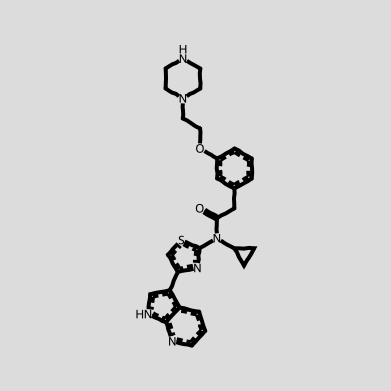 O=C(Cc1cccc(OCCN2CCNCC2)c1)N(c1nc(-c2c[nH]c3ncccc23)cs1)C1CC1